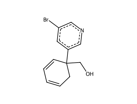 OCC1(c2cncc(Br)c2)C=CC=CC1